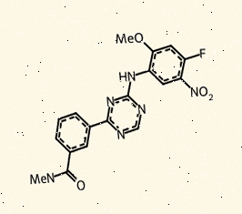 CNC(=O)c1cccc(-c2ncnc(Nc3cc([N+](=O)[O-])c(F)cc3OC)n2)c1